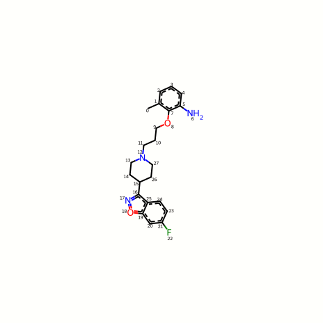 Cc1cccc(N)c1OCCCN1CCC(c2noc3cc(F)ccc23)CC1